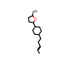 C/C=C/CCC1CCC(C2CCC(CCC)O2)CC1